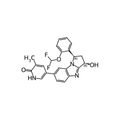 Cc1cc(-c2ccc3nc4n(c3c2)[C@@H](c2ccccc2OC(F)F)C[C@H]4O)c[nH]c1=O